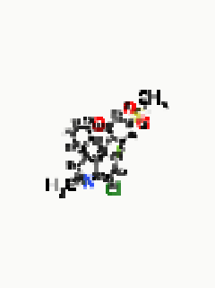 CCS(=O)(=O)c1cc(F)cc(Oc2cccc(-c3cc(C)nc4c(Cl)cccc34)c2)c1